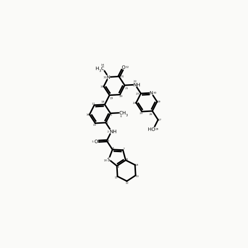 Cc1c(NC(=O)c2cc3c(s2)CCCC3)cccc1-c1cc(Nc2ccc(CO)cn2)c(=O)n(C)c1